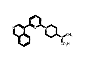 CN(C(=O)O)C1CCN(c2cccc(-c3cncc4ccccc34)n2)CC1